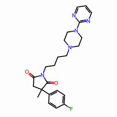 CC1(c2ccc(F)cc2)CC(=O)N(CCCCN2CCN(c3ncccn3)CC2)C1=O